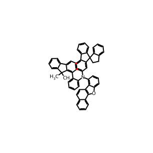 CC1(C)c2ccccc2-c2cccc(-c3ccccc3N(c3ccc4c(c3)C3(CCc5ccccc53)c3ccccc3-4)c3cccc4oc5c6ccccc6ccc5c34)c21